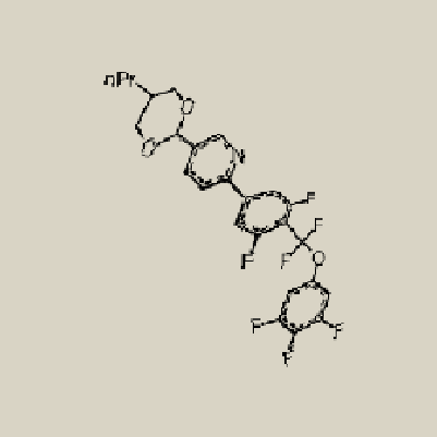 CCCC1COC(c2ccc(-c3cc(F)c(C(F)(F)Oc4cc(F)c(F)c(F)c4)c(F)c3)nc2)OC1